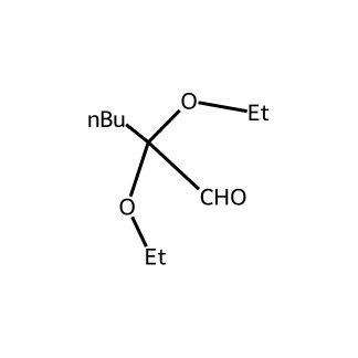 CCCCC(C=O)(OCC)OCC